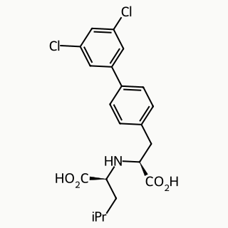 CC(C)C[C@H](N[C@@H](Cc1ccc(-c2cc(Cl)cc(Cl)c2)cc1)C(=O)O)C(=O)O